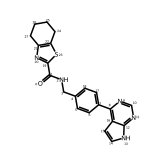 O=C(NCc1ccc(-c2ncnc3[nH]ccc23)cc1)c1nc2c(s1)CCCC2